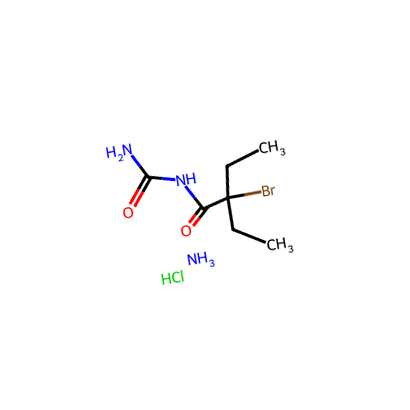 CCC(Br)(CC)C(=O)NC(N)=O.Cl.N